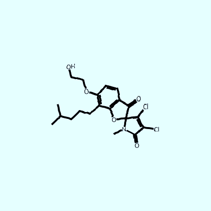 CC(C)CCCc1c(OCCO)ccc2c1OC1(C2=O)C(Cl)=C(Cl)C(=O)N1C